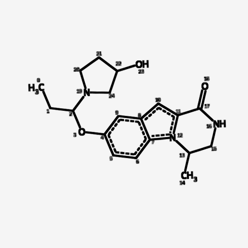 CCC(Oc1ccc2c(c1)cc1n2C(C)CNC1=O)N1CCC(O)C1